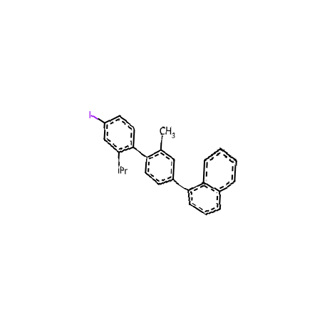 Cc1cc(-c2cccc3ccccc23)ccc1-c1ccc(I)cc1C(C)C